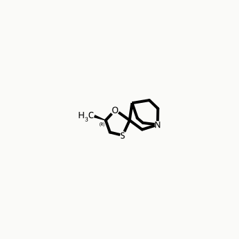 C[C@@H]1CSC2(CN3CCC2CC3)O1